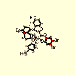 Brc1ccc(ON2P(Oc3ccc(Br)cc3)N=P(Oc3ccc(Br)cc3)(Oc3ccc(Br)cc3)N(Oc3ccc(Br)cc3)P2Oc2ccc(Br)cc2)cc1.Cl